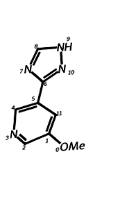 COc1cncc(-c2nc[nH]n2)c1